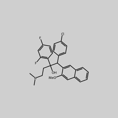 COc1cc2ccccc2cc1C(c1ccc(Cl)cc1)C(O)(CCN(C)C)c1ccc(F)cc1F